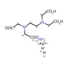 O=C([O-])CN(CCN(CC(=O)O)CC(=O)O)CC(=O)[O-].[Fe+3].[H-].[H-].[NH4+]